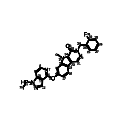 Cn1c2cc(Oc3nccc4c3cnn4PI)ccc2c2cnn(Cc3ccccc3F)c(=O)c21